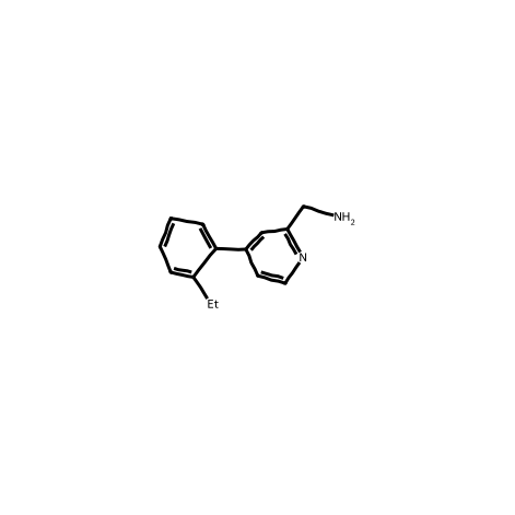 CCc1ccccc1-c1ccnc(CN)c1